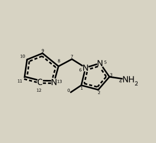 Cc1cc(N)nn1Cc1ccccn1